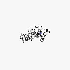 CC(=O)O[C@H]1C[C@@]2(C)[C@@H](C[C@@H](O)[C@H]3[C@@]4(C)CC[C@@H](O)[C@@H](CN)[C@@H]4CC[C@@]32N)/C1=C(/C(=O)O)C1CCCC(=C(C)C)C1